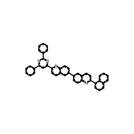 c1ccc(-c2cc(-c3ccc4cc(-c5ccc6nc(-c7cccc8ccccc78)ccc6c5)ccc4n3)nc(-c3ccccc3)n2)cc1